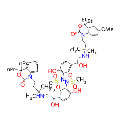 CCCC1(CCC)OC(=O)N(CCC(C)(C)NCC(O)c2ccc(O)c(N(N(c3cc(C(O)CNC(C)(C)CCN4C(=O)OC(CC)(CC)c5cc(OC)ccc54)ccc3O)S(C)(=O)=O)S(C)(=O)=O)c2)c2ccccc21